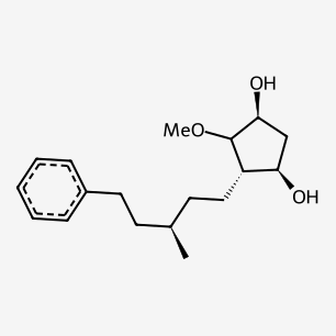 COC1[C@@H](CC[C@@H](C)CCc2ccccc2)[C@H](O)C[C@@H]1O